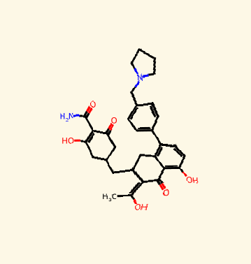 C/C(O)=C1/C(=O)c2c(O)ccc(-c3ccc(CN4CCCC4)cc3)c2CC1CC1CC(=O)C(C(N)=O)=C(O)C1